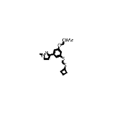 COCOc1cc(SCSC2CCC2)cc(-c2[c]cn(C)n2)c1